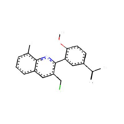 COc1ccc(C(C)C)cc1-c1nc2c(C)cccc2cc1CCl